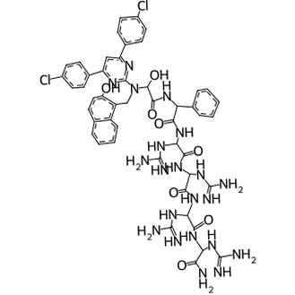 N=C(N)NC(NC(=O)C(NC(=N)N)NC(=O)C(NC(=N)N)NC(=O)C(NC(=N)N)NC(=O)C(NC(=O)C(O)N(Cc1c(O)ccc2ccccc12)c1nc(-c2ccc(Cl)cc2)cc(-c2ccc(Cl)cc2)n1)c1ccccc1)C(N)=O